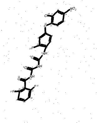 O=C(NC(=O)Nc1ccc(Oc2ccc([N+](=O)[O-])cc2Cl)cc1F)NC(=O)c1c(F)cccc1F